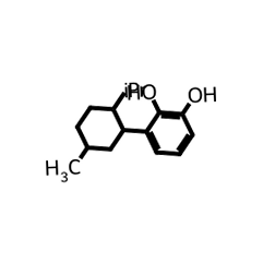 CC1CCC(C(C)C)C(c2cccc(O)c2O)C1